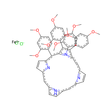 COc1ccc(-c2c(-c3ccc(OC)cc3OC)c3c(-c4ccc(OC)cc4OC)c4nc(cc5ccc(cc6nc(cc2n3-c2ccc(OC)cc2OC)C=C6)[nH]5)C=C4)c(OC)c1.[Cl-].[Cl-].[Fe+2]